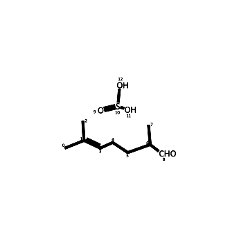 CC(C)=CCCC(C)C=O.O=S(O)O